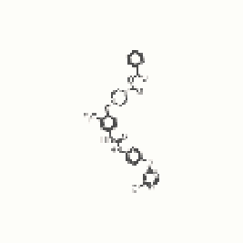 O=C(Nc1ccc(Oc2cc(Cl)ncn2)cc1)Nc1ccc(CN2CCN(C(=O)OC(=O)c3ccccc3)CC2)c(C(F)(F)F)c1